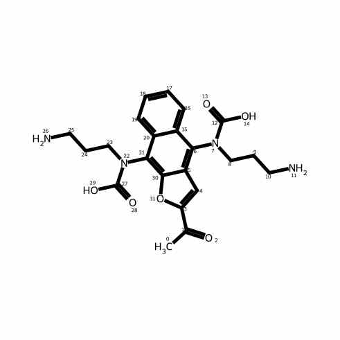 CC(=O)c1cc2c(N(CCCN)C(=O)O)c3ccccc3c(N(CCCN)C(=O)O)c2o1